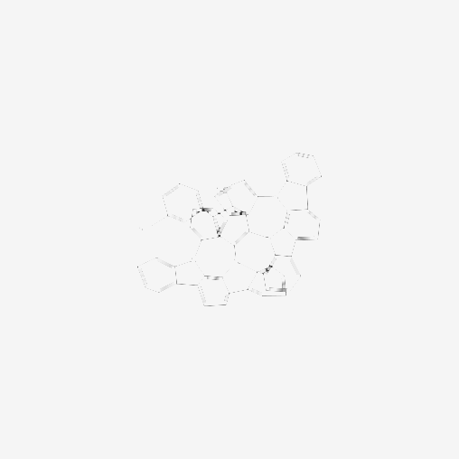 N#Cc1cccc(-c2cc(-n3c4ccccc4c4ccc5c6ccccc6n(-c6ccccc6)c5c43)c(-n3c4ccccc4c4ccc5c6ccccc6n(-c6ccccc6)c5c43)cc2C#N)c1